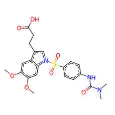 COc1cc2c(CCC(=O)O)cn(S(=O)(=O)c3ccc(NC(=O)N(C)C)cc3)c2cc1OC